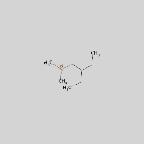 CCC(CC)C[SH](C)C